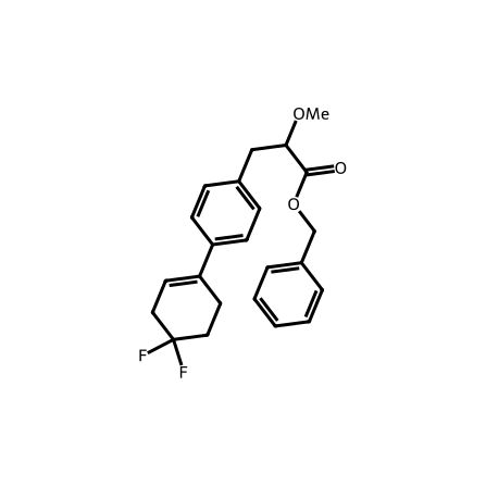 COC(Cc1ccc(C2=CCC(F)(F)CC2)cc1)C(=O)OCc1ccccc1